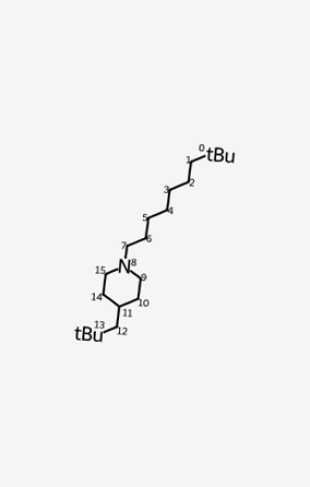 CC(C)(C)CCCCCCCN1CCC(CC(C)(C)C)CC1